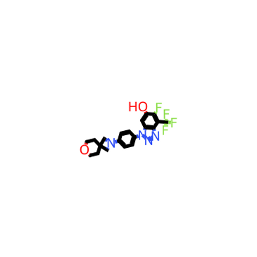 Oc1cc2c(nnn2-c2ccc(N3CC4(CCOCC4)C3)cc2)c(C(F)(F)F)c1F